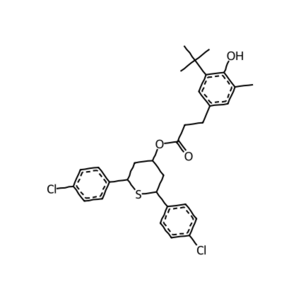 Cc1cc(CCC(=O)OC2CC(c3ccc(Cl)cc3)SC(c3ccc(Cl)cc3)C2)cc(C(C)(C)C)c1O